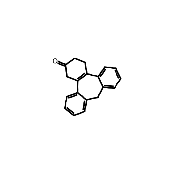 O=C1CCC2=C(C1)c1ccccc1Cc1ccccc12